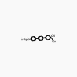 CCCCCCCc1ccc(-c2ccc(C3CCC(C#N)(CC(C)CC)CC3)cc2)cc1